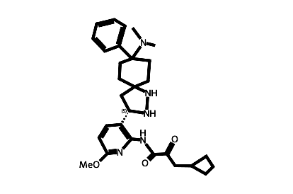 COc1ccc([C@@H]2CC3(CCC(c4ccccc4)(N(C)C)CC3)NN2)c(NC(=O)C(=O)CC2CCC2)n1